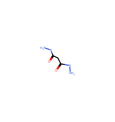 N[N]C(=O)CC(=O)[N]N